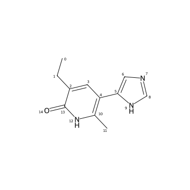 CCc1cc(-c2cnc[nH]2)c(C)[nH]c1=O